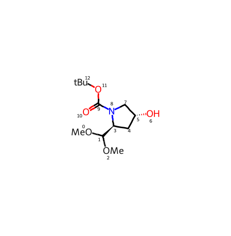 COC(OC)[C@@H]1C[C@@H](O)CN1C(=O)OC(C)(C)C